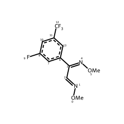 CON=CC(=NOC)c1cc(F)cc(C(F)(F)F)c1